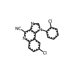 N#Cc1nc2ccc(Cl)cc2c2c1ncn2-c1ccccc1Cl